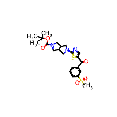 CC(C)(C)OC(=O)N1CC2CN(c3ncc(C(=O)c4cccc(S(C)(=O)=O)c4)s3)CC2C1